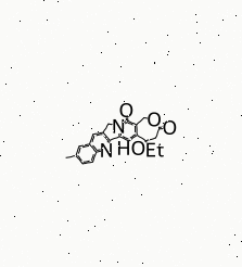 CCC1(O)CC(=O)OCc2c1cc1n(c2=O)Cc2cc3cc(C)ccc3nc2-1